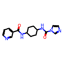 O=C(NC1CCC(NC(=O)n2ccnc2)CC1)c1cccnc1